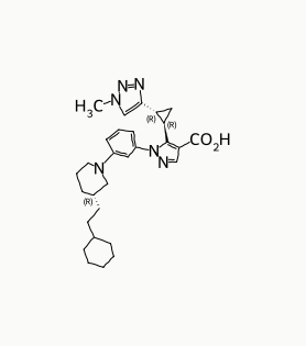 Cn1cc([C@@H]2C[C@H]2c2c(C(=O)O)cnn2-c2cccc(N3CCC[C@@H](CCC4CCCCC4)C3)c2)nn1